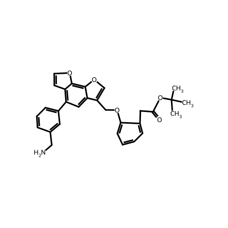 CC(C)(C)OC(=O)Cc1ccccc1OCc1coc2c1cc(-c1cccc(CN)c1)c1ccoc12